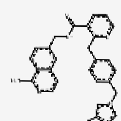 Cc1cnn(Cc2ccc(Cc3ncccc3C(=O)NCc3ccc4c(N)nccc4c3)cc2)c1